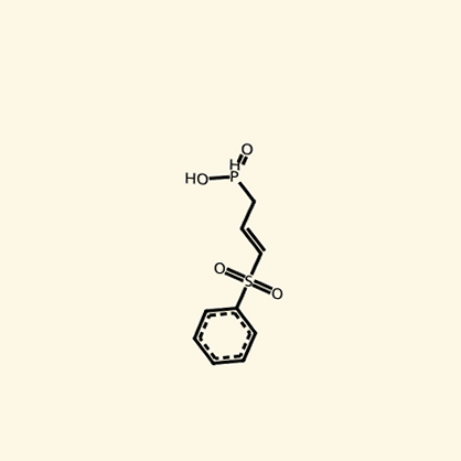 O=[PH](O)CC=CS(=O)(=O)c1ccccc1